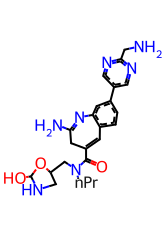 CCCN(CC1CNC(O)O1)C(=O)C1=Cc2ccc(-c3cnc(CN)nc3)cc2N=C(N)C1